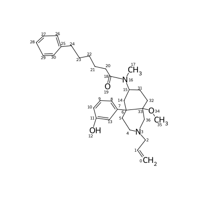 C=CCN1CCC2(c3cccc(O)c3)CC(N(C)C(=O)CCCCCc3ccccc3)CCC2(OC)C1